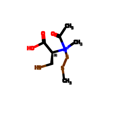 CSS[N+](C)(C(C)=O)[C@@H](CS)C(=O)O